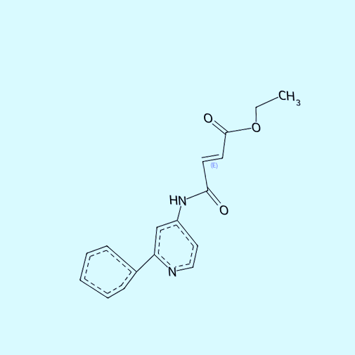 CCOC(=O)/C=C/C(=O)Nc1ccnc(-c2ccccc2)c1